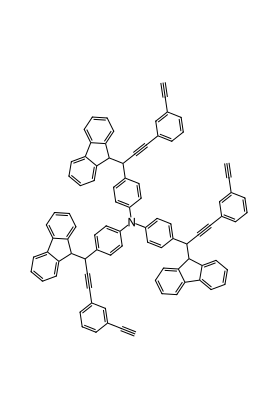 C#Cc1cccc(C#CC(c2ccc(N(c3ccc(C(C#Cc4cccc(C#C)c4)C4c5ccccc5-c5ccccc54)cc3)c3ccc(C(C#Cc4cccc(C#C)c4)C4c5ccccc5-c5ccccc54)cc3)cc2)C2c3ccccc3-c3ccccc32)c1